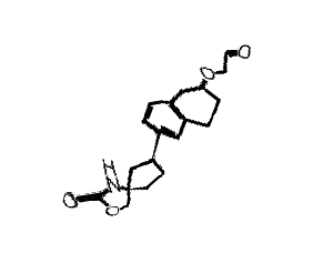 O=CCOC1CCc2cc([C@H]3CC[C@]4(COC(=O)N4)C3)ccc2C1